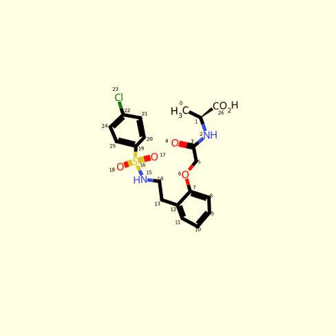 C[C@H](NC(=O)COc1ccccc1CCNS(=O)(=O)c1ccc(Cl)cc1)C(=O)O